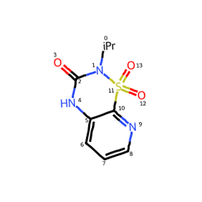 CC(C)N1C(=O)Nc2cccnc2S1(=O)=O